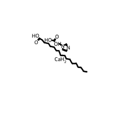 CCCCCCCCCCCCCCCCCC(=O)O.Cn1ccnc1.O=C(O)O.[CaH2]